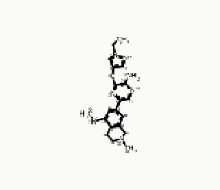 CCn1cc(Oc2nc(-c3cc4c(c(NC)c3)CCN(C)C4)cnc2N)cn1